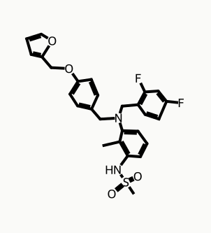 Cc1c(NS(C)(=O)=O)cccc1N(Cc1ccc(OCc2ccco2)cc1)Cc1ccc(F)cc1F